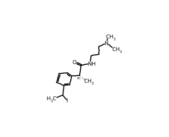 CC(I)c1cccc([C@@H](C)C(=O)NCCCN(C)C)c1